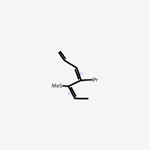 C=C/C=C(\C(=C/C)SC)C(C)C